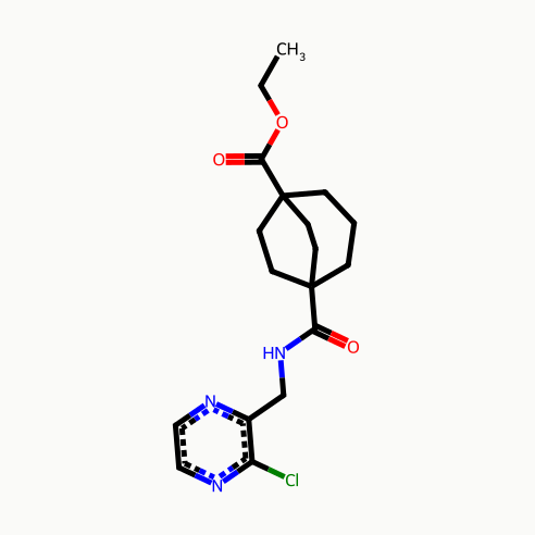 CCOC(=O)C12CCCC(C(=O)NCc3nccnc3Cl)(CC1)CC2